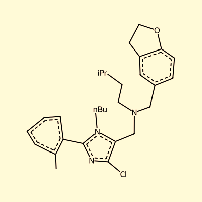 CCCCn1c(-c2ccccc2C)nc(Cl)c1CN(CCC(C)C)Cc1ccc2c(c1)CCO2